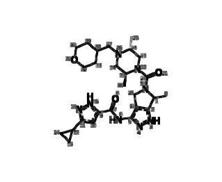 CC1c2[nH]nc(NC(=O)c3cc(C4CC4)n[nH]3)c2CN1C(=O)N1C[C@@H](C)N(CC2CCOCC2)C[C@@H]1C